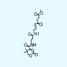 COC(=O)CCC(=O)SCCNC(=O)CCNC(=O)[C@@H]1OC(=O)OCC1(C)C